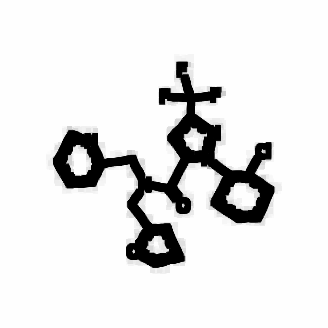 O=C(c1cc(C(F)(F)F)nn1-c1ccccc1Cl)N(Cc1ccccn1)Cc1ccco1